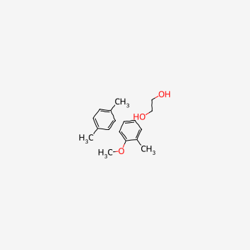 COc1ccccc1C.Cc1ccc(C)cc1.OCCO